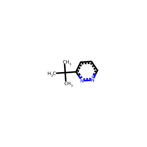 CC(C)(C)c1cc[c]nn1